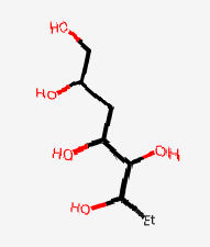 CCC(O)C(O)C(O)CC(O)CO